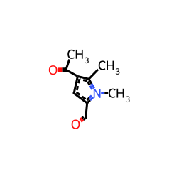 CC(=O)c1cc(C=O)n(C)c1C